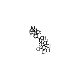 CCOP(=O)(OCC)C(F)(F)c1ccc(/C(C)=C/C(=O)Oc2c(Cl)c(Cl)c(Cl)c(Cl)c2Cl)cc1